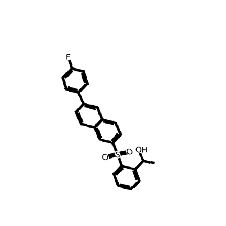 CC(O)c1ccccc1S(=O)(=O)c1ccc2cc(-c3ccc(F)cc3)ccc2c1